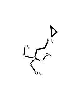 C1CC1.CO[Si](CCN)(OC)OC